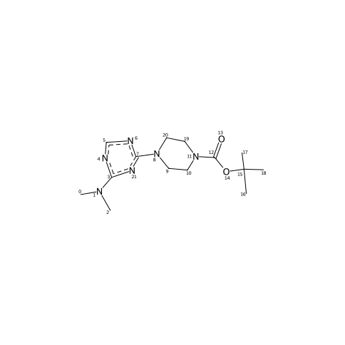 CN(C)c1ncnc(N2CCN(C(=O)OC(C)(C)C)CC2)n1